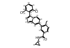 Cc1ccc(C(=O)NC2CC2)cc1-c1ccn2c(-c3c(Cl)cccc3Cl)nnc2c1